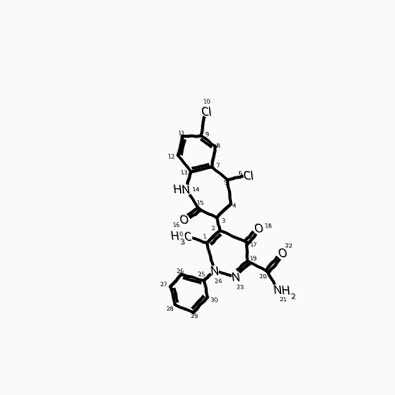 Cc1c(C2CC(Cl)c3cc(Cl)ccc3NC2=O)c(=O)c(C(N)=O)nn1-c1ccccc1